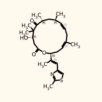 C/C1=C/C[C@@H](/C(C)=C/c2csc(C)n2)OC(=O)C[C@H](O)C(C)(C)C(=O)[C@H](C)C[C@@H](C)/C=C\C1